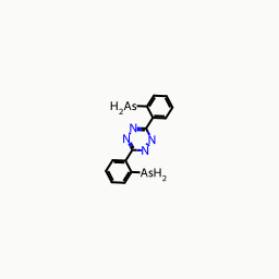 [AsH2]c1ccccc1-c1nnc(-c2ccccc2[AsH2])nn1